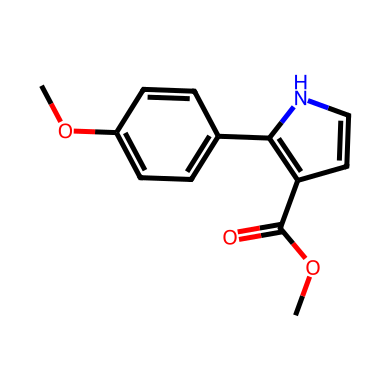 COC(=O)c1cc[nH]c1-c1ccc(OC)cc1